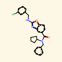 O=C(c1ccc2oc(NCc3cccc(Cl)c3)nc2c1)N(Cc1ccccc1)C1CCCC1